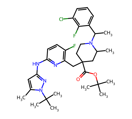 Cc1cc(Nc2ccc(F)c(CC3(C(=O)OC(C)(C)C)CCN(C(C)c4cccc(Cl)c4F)C(C)C3)n2)nn1C(C)(C)C